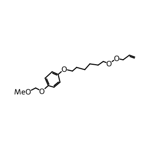 C=CCOOCCCCCCOc1ccc(OCOC)cc1